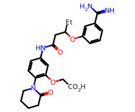 CCC(CC(=O)Nc1ccc(N2CCCCC2=O)c(OCC(=O)O)c1)Oc1cccc(C(=N)N)c1